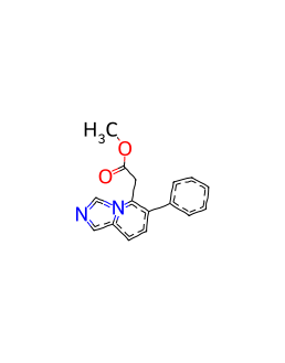 COC(=O)Cc1c(-c2ccccc2)ccc2cncn12